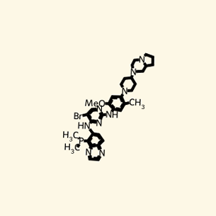 COc1cc(N2CCC(N3CCN4CCCC4C3)CC2)c(C)cc1Nc1ncc(Br)c(Nc2ccc3nccnc3c2P(C)C)n1